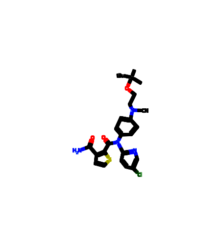 CC(C)(C)[Si](C)(C)OCCN(C#N)c1ccc(N(C(=O)c2sccc2C(N)=O)c2ccc(Cl)cn2)cc1